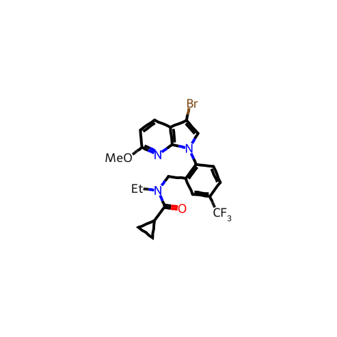 CCN(Cc1cc(C(F)(F)F)ccc1-n1cc(Br)c2ccc(OC)nc21)C(=O)C1CC1